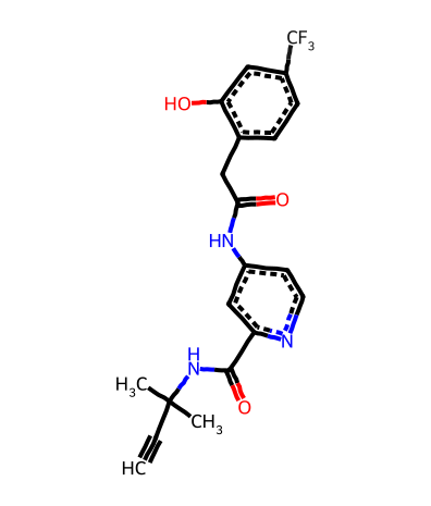 C#CC(C)(C)NC(=O)c1cc(NC(=O)Cc2ccc(C(F)(F)F)cc2O)ccn1